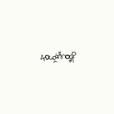 CCS(=O)(=O)c1ccc(CC(=O)Nc2nc3c(s2)CN(Cc2nccc(C(F)(F)F)n2)[C@@H]3C(C)C)cc1C1CCCC1